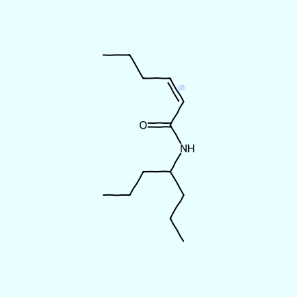 CCC/C=C\C(=O)NC(CCC)CCC